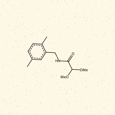 COC(OC)C(=O)NCc1cc(C)ccc1C